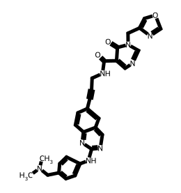 CN(C)Cc1ccc(Nc2ncc3cc(C#CCNC(=O)c4cncn(Cc5cocn5)c4=O)ccc3n2)cc1